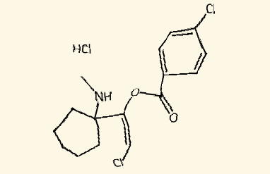 CNC1(C(=CCl)OC(=O)c2ccc(Cl)cc2)CCCCC1.Cl